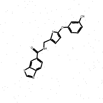 N#Cc1cccc(Oc2ccc(CNC(=O)c3ccc4ncsc4c3)s2)c1